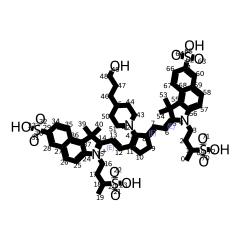 CC(CCN1/C(=C/C=C2\CCC(/C=C/C3=[N+](CCC(C)S(=O)(=O)O)c4ccc5cc(S(=O)(=O)O)ccc5c4C3(C)C)=C2N2CCC(CCCO)CC2)C(C)(C)c2c1ccc1cc(S(=O)(=O)O)ccc21)S(=O)(=O)O